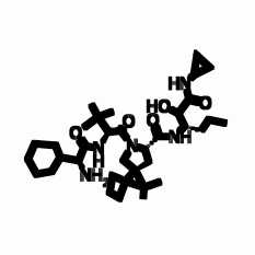 CCC[C@H](NC(=O)[C@@H]1C[C@@]2(CN1C(=O)[C@@H](NC(=O)[C@@H](N)C1CCCCC1)C(C)(C)C)C(C)(C)C21CCC1)C(O)C(=O)NC1CC1